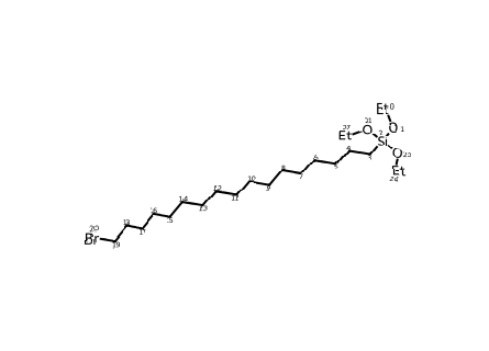 CCO[Si](CCCCCCCCCCCCCCCCCBr)(OCC)OCC